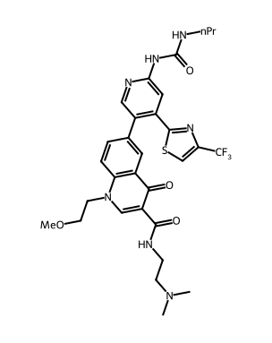 CCCNC(=O)Nc1cc(-c2nc(C(F)(F)F)cs2)c(-c2ccc3c(c2)c(=O)c(C(=O)NCCN(C)C)cn3CCOC)cn1